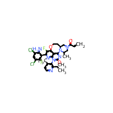 C=CC(=O)N1CC(C)N2c3nc(=O)n(-c4c(C)ccnc4C(C)C)c4nc(-c5c(N)c(Cl)cc(Cl)c5F)c(F)c(c34)OCCC2C1